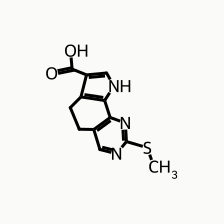 CSc1ncc2c(n1)-c1[nH]cc(C(=O)O)c1CC2